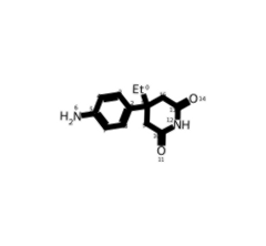 CCC1(c2ccc(N)cc2)CC(=O)NC(=O)C1